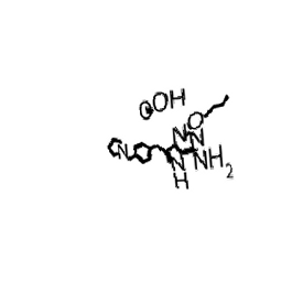 CCCCOc1nc(N)c2[nH]cc(Cc3ccc(CN4CCCC4)cc3)c2n1.O=CO